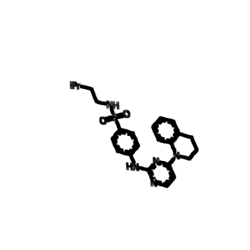 CC(C)CCNS(=O)(=O)c1ccc(Nc2nccc(N3CCCc4ccccc43)n2)cc1